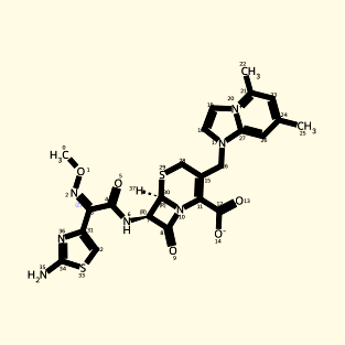 CO/N=C(\C(=O)N[C@@H]1C(=O)N2C(C(=O)[O-])=C(Cn3cc[n+]4c(C)cc(C)cc34)CS[C@H]12)c1csc(N)n1